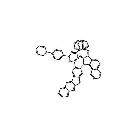 C1=CCC(c2ccc(-c3nc(-c4ccccc4)nc(-c4cc5c(cc4-n4c6cc7ccccc7cc6c6ccc7ccccc7c64)oc4cc6ccccc6cc45)n3)cc2)C=C1